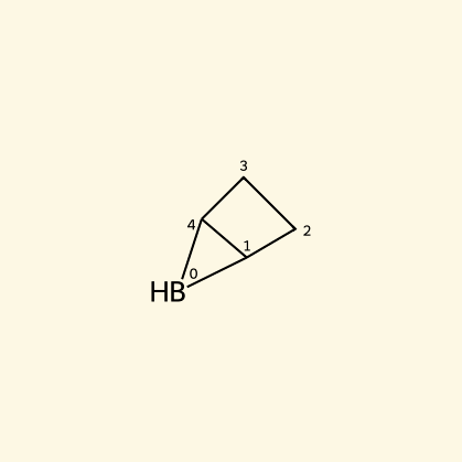 B1C2CCC12